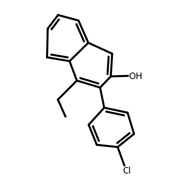 CCc1c(-c2ccc(Cl)cc2)c(O)cc2ccccc12